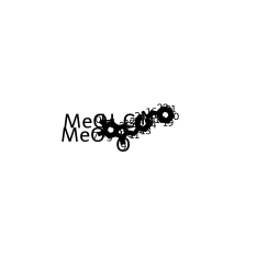 COc1cc2c(cc1OC)C(=O)C(Cc1cc[n+](Cc3ccccc3)cc1C)C2